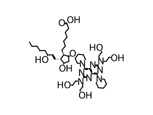 CCCCC[C@H](O)/C=C/[C@H]1[C@H](O)CC(=O)[C@@H]1CCCCCCC(=O)O.OCCN(CCO)c1nc(N2CCCCC2)c2nc(N(CCO)CCO)nc(N3CCCCC3)c2n1